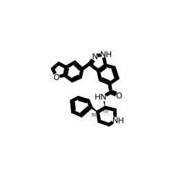 O=C(N[C@@H]1CNCC[C@H]1c1ccccc1)c1ccc2[nH]nc(-c3ccc4c(c3)CCO4)c2c1